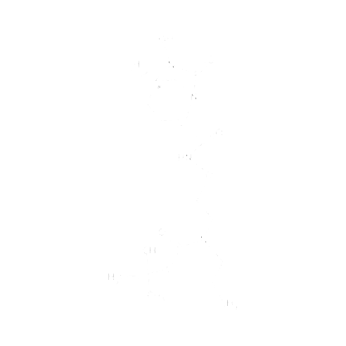 CCCN(CCONC(=O)[C@@H]1CC[C@@H]2CN1C(=O)N2O)C(=O)OC(C)(C)C